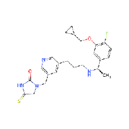 C[C@@H](NCCCc1cncc(CN2CC(=S)NC2=O)c1)c1ccc(F)c(OCC2CC2)c1